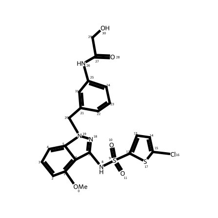 COc1cccc2c1c(NS(=O)(=O)c1ccc(Cl)s1)nn2Cc1cccc(NC(=O)CO)c1